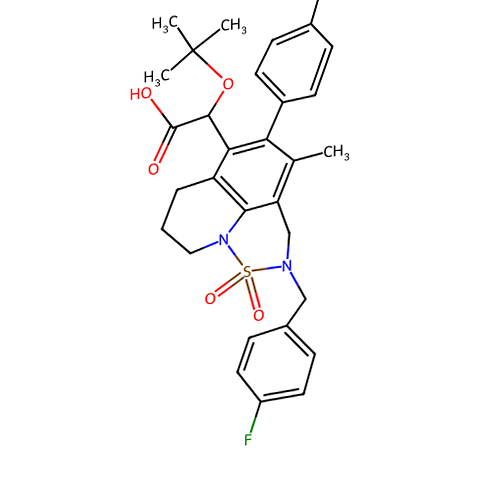 Cc1ccc(-c2c(C)c3c4c(c2C(OC(C)(C)C)C(=O)O)CCCN4S(=O)(=O)N(Cc2ccc(F)cc2)C3)cc1